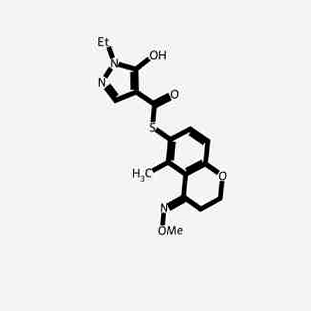 CCn1ncc(C(=O)Sc2ccc3c(c2C)C(=NOC)CCO3)c1O